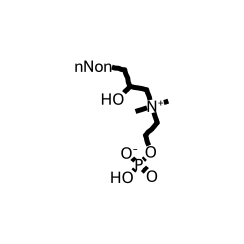 CCCCCCCCCCC(O)C[N+](C)(C)CCOP(=O)([O-])O